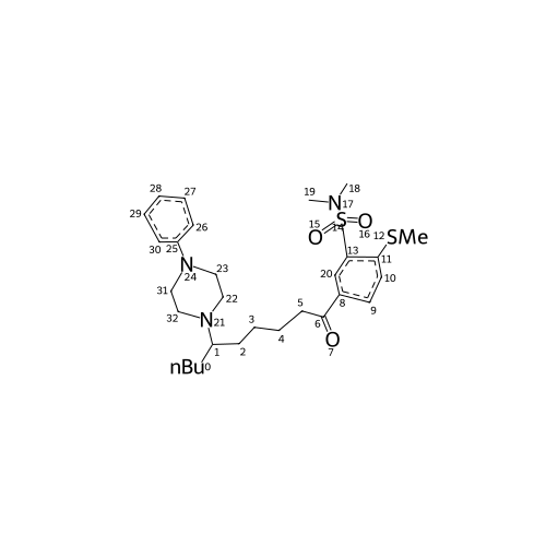 CCCCC(CCCCC(=O)c1ccc(SC)c(S(=O)(=O)N(C)C)c1)N1CCN(c2ccccc2)CC1